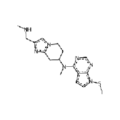 CNCc1cn2c(n1)CC(N(C)c1ncnc3c1ccn3SI)CC2